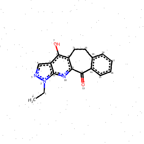 CCn1ncc2c(O)c3c(nc21)C(=O)c1ccccc1CC3